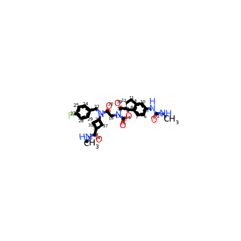 CNC(=O)Nc1ccc2c(c1)CC[C@@]21OC(=O)N(CC(=O)N(Cc2ccc(F)cc2)C2CC(C(=O)NC)C2)C1=O